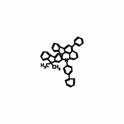 CC1(C)c2ccccc2-c2ccc(N(c3ccc(-c4ccccc4)cc3)c3cccc4c(-c5ccccc5)cc5c6ccccc6oc5c34)cc21